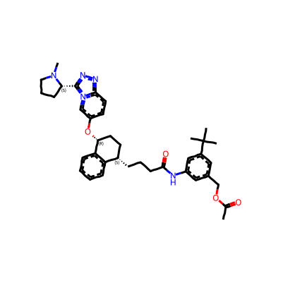 CC(=O)OCc1cc(NC(=O)CCC[C@H]2CC[C@@H](Oc3ccc4nnc([C@@H]5CCCN5C)n4c3)c3ccccc32)cc(C(C)(C)C)c1